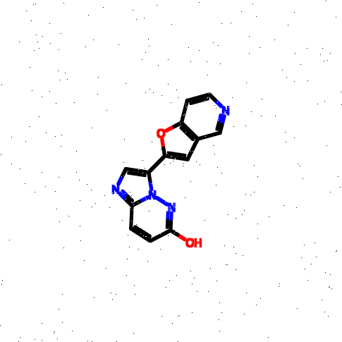 Oc1ccc2ncc(-c3cc4cnccc4o3)n2n1